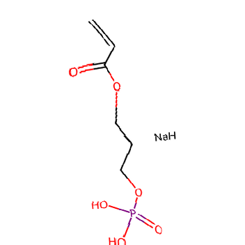 C=CC(=O)OCCCOP(=O)(O)O.[NaH]